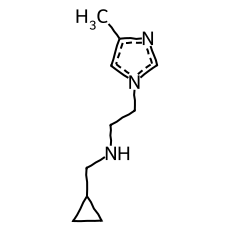 Cc1cn(CCNCC2CC2)cn1